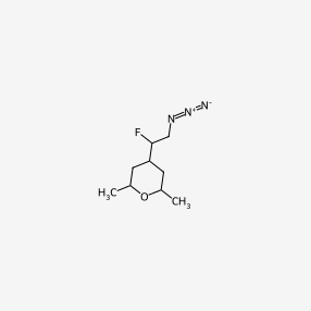 CC1CC(C(F)CN=[N+]=[N-])CC(C)O1